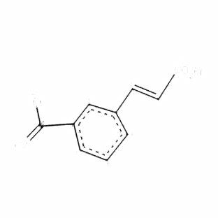 CCOC(=O)C=Cc1cccc(C(=O)CC)c1